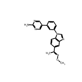 CON=C(C)c1ccc2c(c1)ncn2-c1cccc(-c2cnc(N)nc2)c1